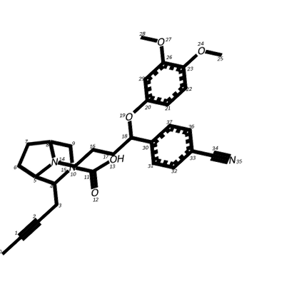 CC#CCC1C2CCC(CN1C(=O)O)N2CCCC(Oc1ccc(OC)c(OC)c1)c1ccc(C#N)cc1